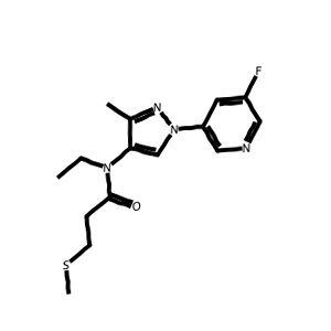 CCN(C(=O)CCSC)c1cn(-c2cncc(F)c2)nc1C